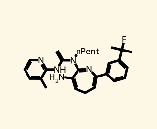 C=C(Nc1ncccc1C)N(CCCCC)C1=NC(c2cccc(C(C)(C)F)c2)=CCC=C1N